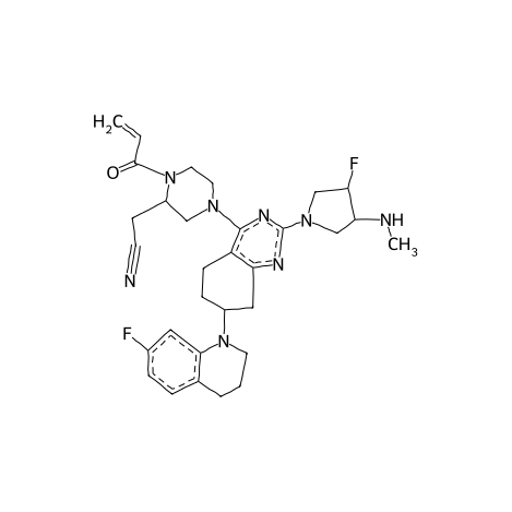 C=CC(=O)N1CCN(c2nc(N3CC(F)C(NC)C3)nc3c2CCC(N2CCCc4ccc(F)cc42)C3)CC1CC#N